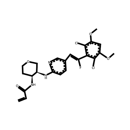 C=CC(=O)N[C@H]1CCOC[C@H]1Nc1ccc(/C=C(\F)c2c(Cl)c(OC)cc(OC)c2Cl)cn1